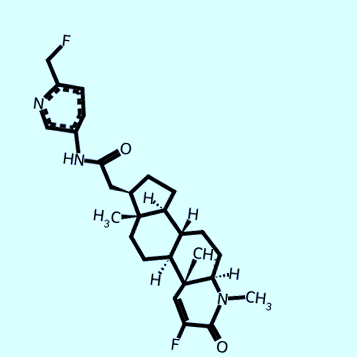 CN1C(=O)C(F)=C[C@]2(C)[C@H]3CC[C@]4(C)[C@@H](CC(=O)Nc5ccc(CF)nc5)CC[C@H]4[C@@H]3CC[C@@H]12